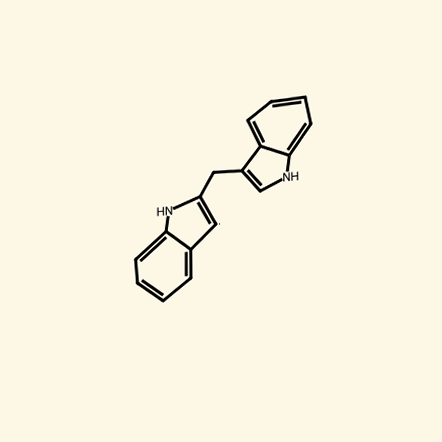 [c]1c(Cc2c[nH]c3ccccc23)[nH]c2ccccc12